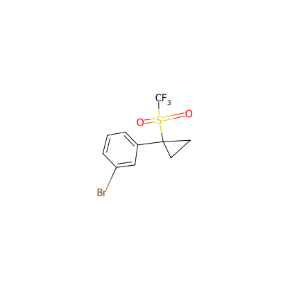 O=S(=O)(C(F)(F)F)C1(c2cccc(Br)c2)CC1